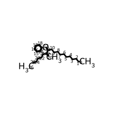 CCCCCCCCCCCC(Oc1cc[c]cc1)C(C)CCCCCC